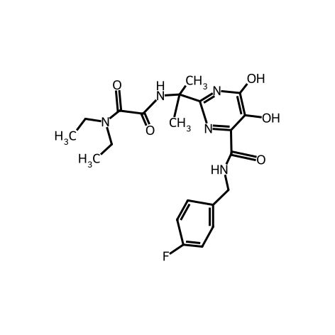 CCN(CC)C(=O)C(=O)NC(C)(C)c1nc(O)c(O)c(C(=O)NCc2ccc(F)cc2)n1